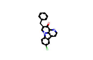 O=c1c(Cc2ccccc2)cn2c3ccc(Cl)cc3c3ccnc1c32